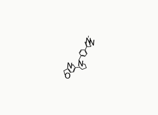 Cn1cc(-c2ccc(CN3CCCC3c3cnc4c(c3)OCC4)cc2)cn1